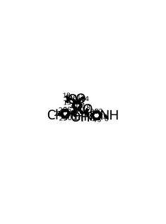 CN[C@H]1CC[C@H](NC(=O)Cc2cc(OC)c(OC(C)C)cc2C(O)c2ccc(Cl)cc2)CC1